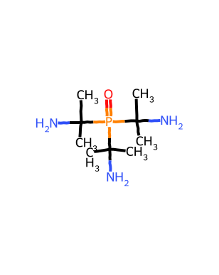 CC(C)(N)P(=O)(C(C)(C)N)C(C)(C)N